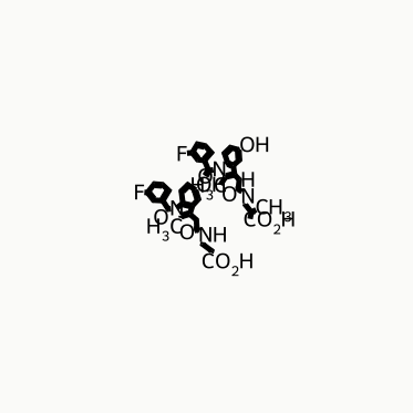 Cc1c(CC(=O)NCC(C)C(=O)O)c2cc(O)ccc2n1C(=O)c1cccc(F)c1.Cc1c(CC(=O)NCCC(=O)O)c2cc(O)ccc2n1C(=O)c1cccc(F)c1